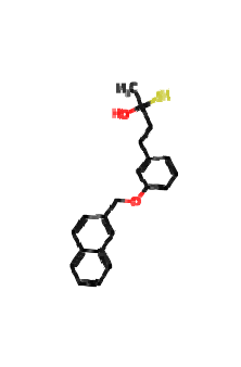 CC(O)(S)CCc1cccc(OCc2ccc3ccccc3c2)c1